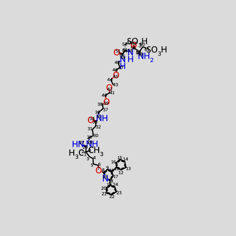 CC(C)(CCCCOc1cc(-c2ccccc2)cc(-c2ccccc2)n1)C(=N)NCCCCC(=O)NCCCOCCOCCOCCCNC(=O)[C@H](CS(=O)(=O)O)NC(=O)[C@@H](N)CS(=O)(=O)O